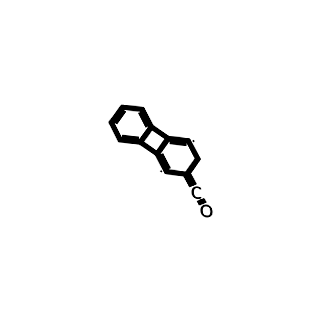 O=C=C1[C]=C2C(=[C]C1)c1ccccc12